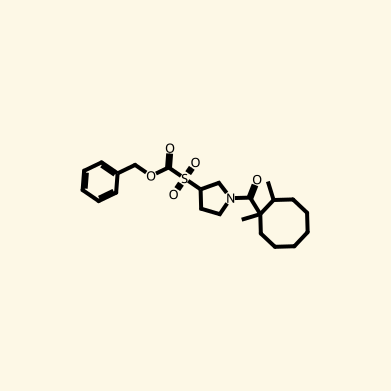 CC1CCCCCCC1(C)C(=O)N1CCC(S(=O)(=O)C(=O)OCc2ccccc2)C1